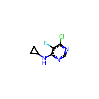 Fc1c(Cl)ncnc1NC1CC1